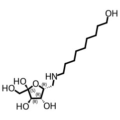 OCCCCCCCCCNC[C@H]1O[C@@](O)(CO)[C@H](O)[C@H]1O